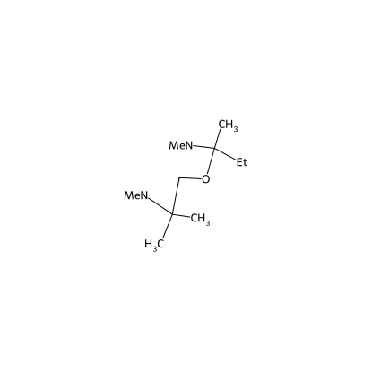 CCC(C)(NC)OCC(C)(C)NC